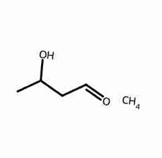 C.CC(O)CC=O